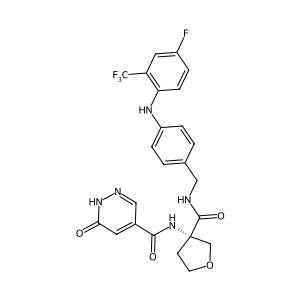 O=C(N[C@@]1(C(=O)NCc2ccc(Nc3ccc(F)cc3C(F)(F)F)cc2)CCOC1)c1cn[nH]c(=O)c1